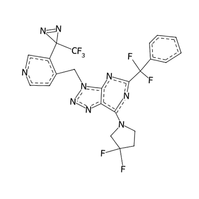 FC1(F)CCN(c2nc(C(F)(F)c3ccccc3)nc3c2nnn3Cc2ccncc2C2(C(F)(F)F)N=N2)C1